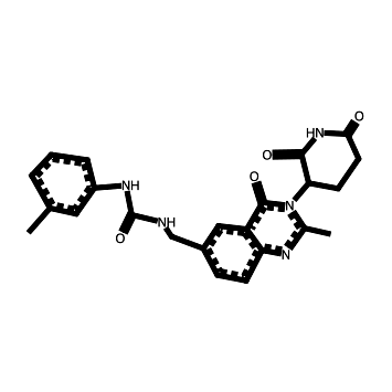 Cc1cccc(NC(=O)NCc2ccc3nc(C)n(C4CCC(=O)NC4=O)c(=O)c3c2)c1